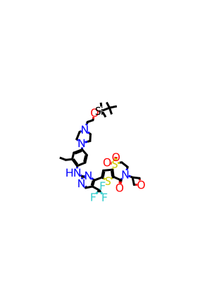 CCc1cc(N2CCN(CCO[Si](C)(C)C(C)(C)C)CC2)ccc1Nc1ncc(C(F)(F)F)c(-c2cc3c(s2)C(=O)N(C2COC2)CCS3(=O)=O)n1